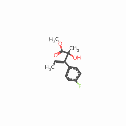 C/C=C(\c1ccc(F)cc1)C(C)(O)C(=O)OC